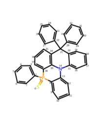 S=P1(c2ccccc2)c2ccccc2N2c3ccccc3C(c3ccccc3)(c3ccccc3)c3cccc1c32